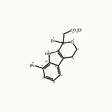 CCOC(=O)CC1(CC)OCCc2c1[nH]c1c(C(C)C)cccc21